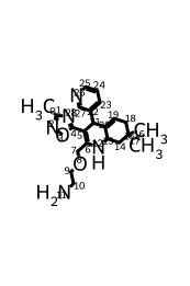 Cc1noc(C2=C(COCCN)NC3CC(C)(C)CC=C3C2c2cccnc2)n1